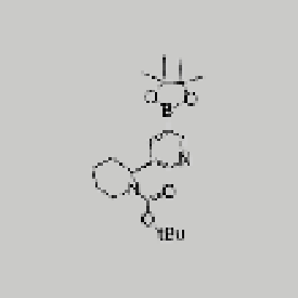 CC(C)(C)OC(=O)N1CCCC[C@H]1c1cncc(B2OC(C)(C)C(C)(C)O2)c1